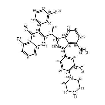 C[C@H](c1oc2cccc(F)c2c(=O)c1-c1cccc(F)c1)n1nc(-c2ccc(N3CCOCC3)c(Cl)c2)c2c(N)ncnc21